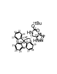 CC(C)(C)OC(=O)N[C@@H](CSC(c1ccccc1)(c1ccccc1)c1ccccc1)c1nnn[nH]1